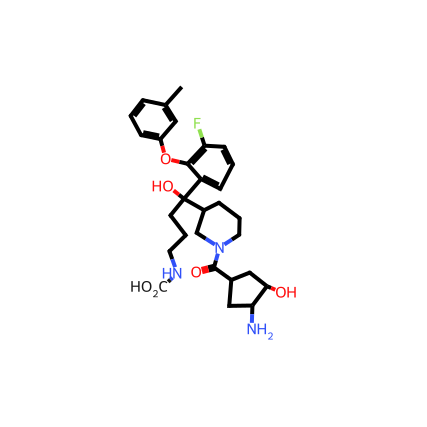 Cc1cccc(Oc2c(F)cccc2C(O)(CCCNC(=O)O)C2CCCN(C(=O)C3CC(N)C(O)C3)C2)c1